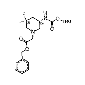 CC(C)(C)OC(=O)N[C@@H]1CN(CC(=O)OCc2ccccc2)C[C@@](C)(F)C1